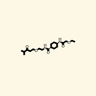 CCOCC(=O)N[C@H]1CC[C@@H](C(=O)NCCOCCC(=O)C(C)C)CC1